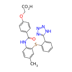 Cc1ccc(NC(=O)c2ccc(OCC(=O)O)cc2)c(Sc2ccccc2-c2nnn[nH]2)c1